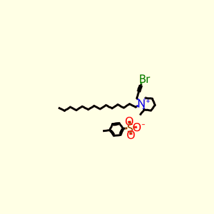 CCCCCCCCCCCCCC[N+]1(CC#CBr)CCCCC1C.Cc1ccc(S(=O)(=O)[O-])cc1